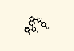 OC1CCN(c2nc(-c3ncnc4ccc(N5C[C@@H](F)C[C@@H]5c5cc(F)ccc5F)nc34)no2)CC1